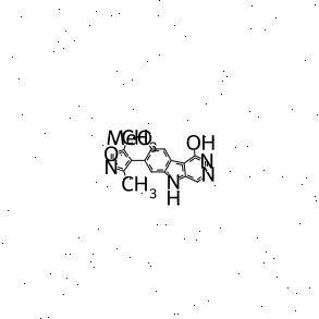 COc1cc2c(cc1-c1c(C)noc1C)[nH]c1cnnc(O)c12